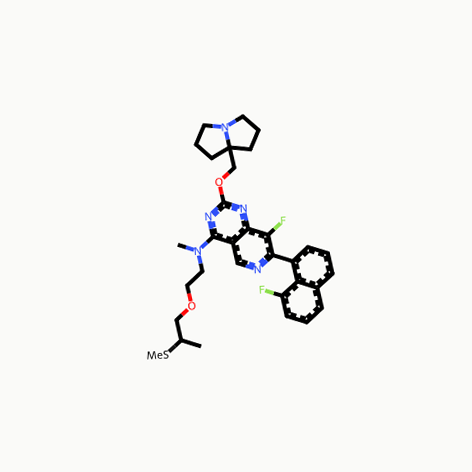 CSC(C)COCCN(C)c1nc(OCC23CCCN2CCC3)nc2c(F)c(-c3cccc4cccc(F)c34)ncc12